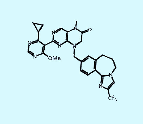 COc1ncnc(C2CC2)c1-c1ncc2c(n1)N(Cc1ccc3c(c1)CCCn1cc(C(F)(F)F)nc1-3)CC(=O)N2C